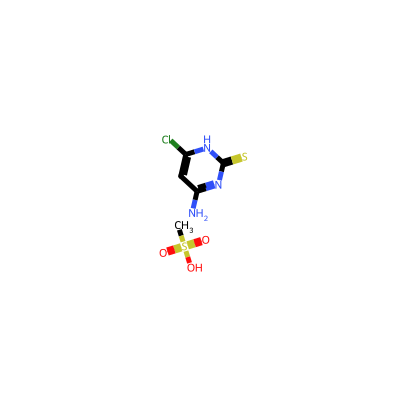 CS(=O)(=O)O.Nc1cc(Cl)[nH]c(=S)n1